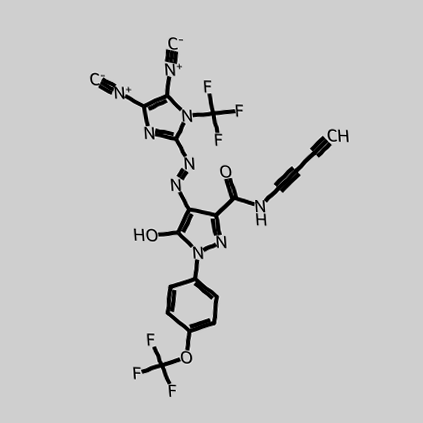 [C-]#[N+]c1nc(N=Nc2c(C(=O)NC#CC#C)nn(-c3ccc(OC(F)(F)F)cc3)c2O)n(C(F)(F)F)c1[N+]#[C-]